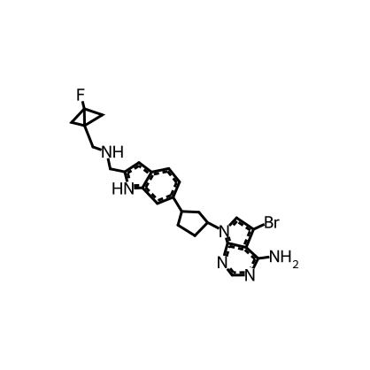 Nc1ncnc2c1c(Br)cn2C1CCC(c2ccc3cc(CNCC45CC4(F)C5)[nH]c3c2)C1